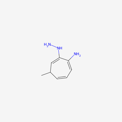 CC1C=CC=C(N)C(NN)=C1